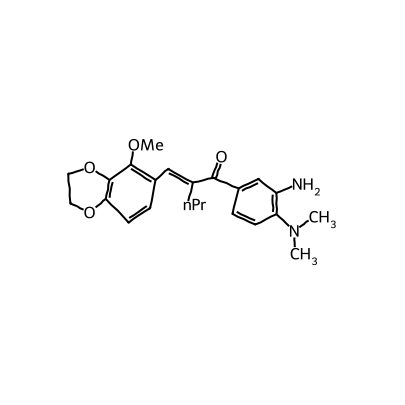 CCC/C(=C\c1ccc2c(c1OC)OCCO2)C(=O)c1ccc(N(C)C)c(N)c1